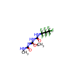 CNC(=O)N=C(NC(=O)NC(F)(F)C(F)(F)C(F)(F)F)OC